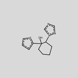 OC1(c2cccs2)CCCCC1n1cncn1